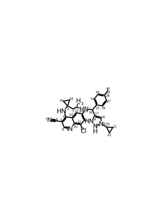 CCC1(Nc2c(C#N)cnc3c(Cl)cc(NC(C4=CN(C5CC5)NN4)c4ccc(F)cc4)cc23)CC1